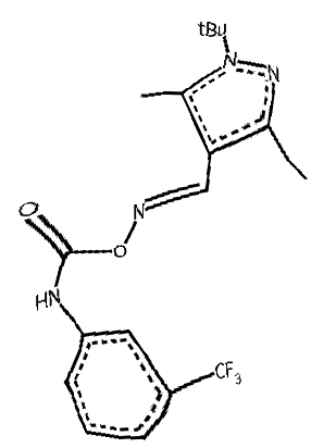 Cc1nn(C(C)(C)C)c(C)c1C=NOC(=O)Nc1cccc(C(F)(F)F)c1